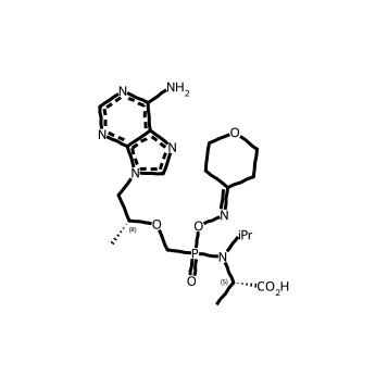 CC(C)N([C@@H](C)C(=O)O)P(=O)(CO[C@H](C)Cn1cnc2c(N)ncnc21)ON=C1CCOCC1